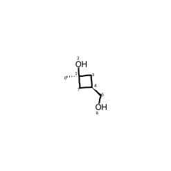 C[C@]1(O)C[C@@H](CO)C1